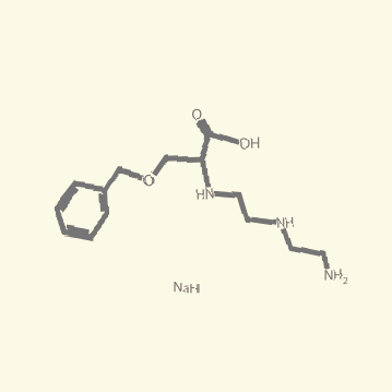 NCCNCCNC(COCc1ccccc1)C(=O)O.[NaH]